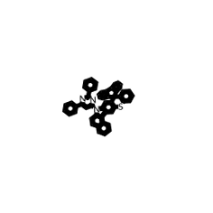 c1ccc(-c2cc(-n3c4cc5c(cc4c4c6ccccc6ccc43)Sc3ccccc3C53c4ccccc4-c4ccccc43)nc(-c3ccccc3)n2)cc1